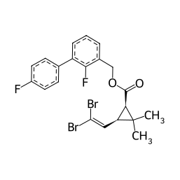 CC1(C)[C@H](C(=O)OCc2cccc(-c3ccc(F)cc3)c2F)[C@@H]1C=C(Br)Br